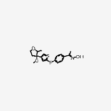 COC1(c2csc(Sc3ccc(/C(C)=N/O)cc3)c2)CCOC1C